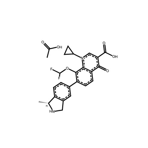 CC(=O)O.C[C@H]1NCc2cc(-c3ccc4c(=O)c(C(=O)O)cn(C5CC5)c4c3OC(F)F)ccc21